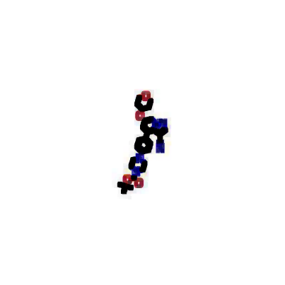 CC(C)(C)OC(=O)N1CCN(c2ccc(-c3cc(OC4CCOCC4)cn4ncc(C#N)c34)cc2)CC1